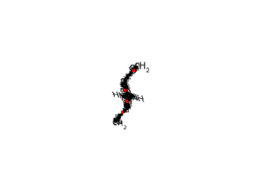 C=CC(=O)OCCCCCCOc1ccc(C(=O)Oc2cc(C=N)c(OC(=O)c3ccc(OCCCCCCOC(=O)C=C)cc3)cc2C=N)cc1